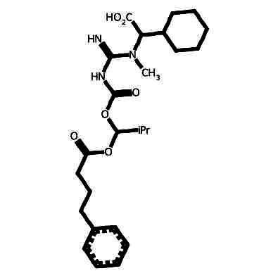 CC(C)C(OC(=O)CCCc1ccccc1)OC(=O)NC(=N)N(C)C(C(=O)O)C1CCCCC1